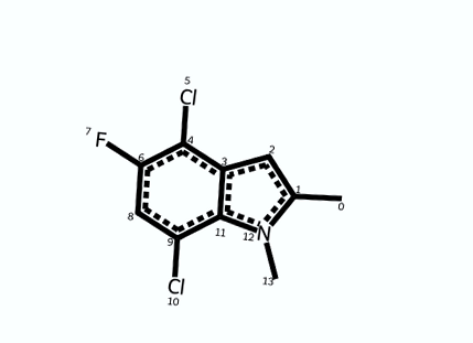 Cc1cc2c(Cl)c(F)cc(Cl)c2n1C